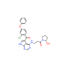 O=C(c1ccc(Oc2ccccc2)cc1Cl)c1c[nH]c2ncnc(NCCC(=O)N3CCCC3O)c12